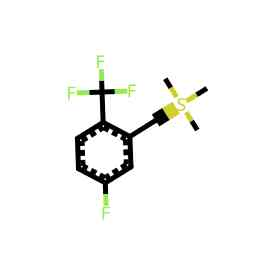 CS(C)(C)#Cc1cc(F)ccc1C(F)(F)F